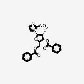 O=C(OC[C@H]1O[C@H](n2ccnc2[N+](=O)[O-])[C@H](F)[C@@H]1OC(=O)c1ccccc1)c1ccccc1